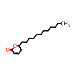 CCCCCCCCCCCCC1CC=CC(=O)O1